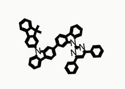 CC1(C)c2ccccc2-c2ccc(-n3c4ccccc4c4ccc(-c5ccc6c7ccccc7n(-c7nc(-c8ccccc8)cc(-c8ccccc8)n7)c6c5)cc43)cc21